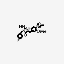 COc1cc(/C=C2\NC(=N)N(Cc3ccc(F)cc3)C2=O)ccc1-n1cnc(C)c1